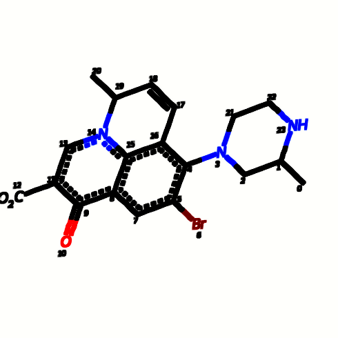 CC1CN(c2c(Br)cc3c(=O)c(C(=O)O)cn4c3c2C=CC4C)CCN1